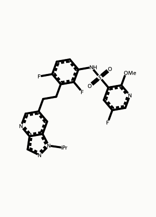 COc1ncc(F)cc1S(=O)(=O)Nc1ccc(F)c(CCc2cnc3cnn(C(C)C)c3c2)c1F